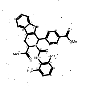 COC(=O)c1ccc(C2c3[nH]c4ccccc4c3CC(C(=O)OC)N2C(=O)Nc2c(C)cccc2[N+](=O)[O-])cc1